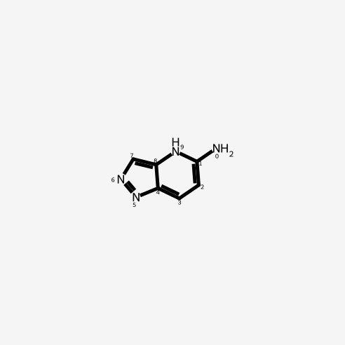 Nc1ccc2nncc-2[nH]1